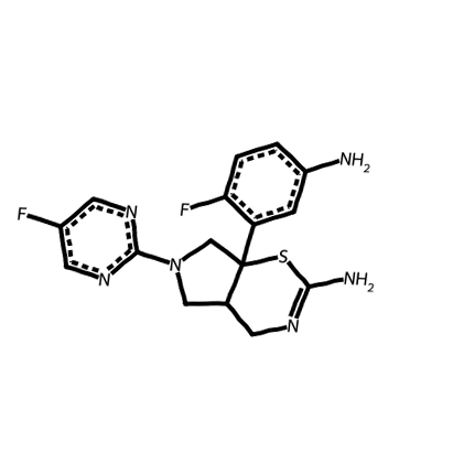 NC1=NCC2CN(c3ncc(F)cn3)CC2(c2cc(N)ccc2F)S1